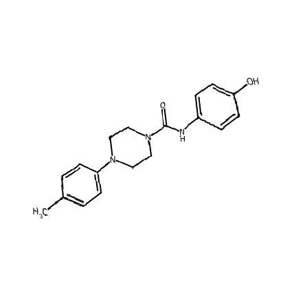 Cc1ccc(N2CCN(C(=O)Nc3ccc(O)cc3)CC2)cc1